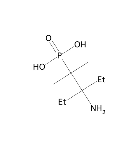 CCC(N)(CC)C(C)(C)P(=O)(O)O